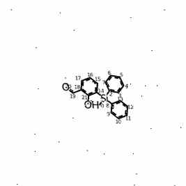 C[Si](c1ccccc1)(c1ccccc1)c1cccc(C=O)c1O